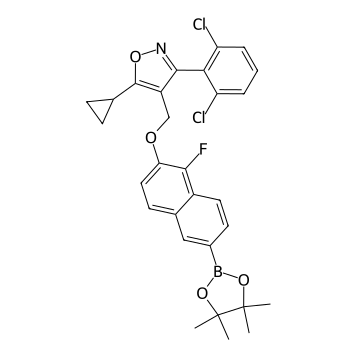 CC1(C)OB(c2ccc3c(F)c(OCc4c(-c5c(Cl)cccc5Cl)noc4C4CC4)ccc3c2)OC1(C)C